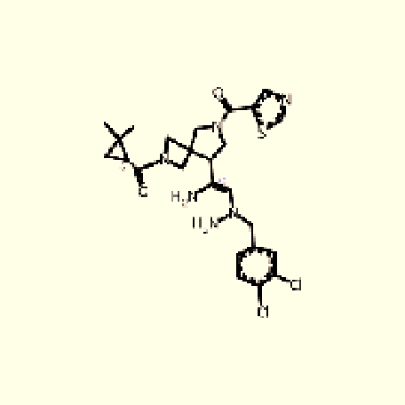 CC1(C)C[C@@H]1C(=O)N1CC2(CN(C(=O)c3cncs3)CC2/C(N)=C/N(N)Cc2ccc(Cl)c(Cl)c2)C1